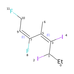 CCC(I)/C(I)=C(C)\C(F)=C/CF